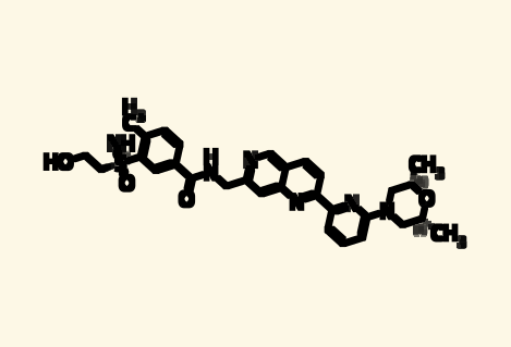 Cc1ccc(C(=O)NCc2cc3nc(-c4cccc(N5C[C@@H](C)O[C@@H](C)C5)n4)ccc3cn2)cc1[S@@](=N)(=O)CCO